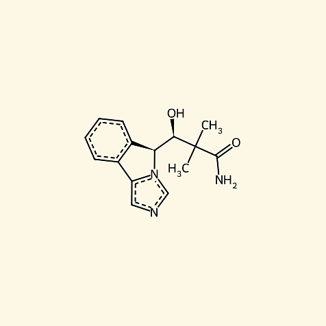 CC(C)(C(N)=O)[C@H](O)[C@@H]1c2ccccc2-c2cncn21